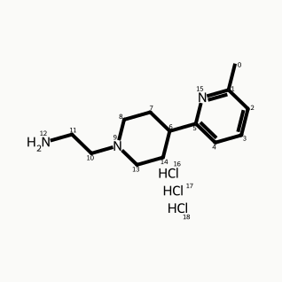 Cc1cccc(C2CCN(CCN)CC2)n1.Cl.Cl.Cl